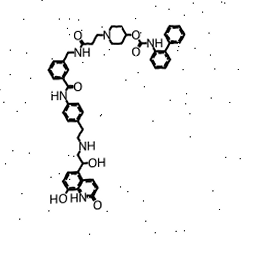 O=C(CCN1CCC(OC(=O)Nc2ccccc2-c2ccccc2)CC1)NCc1cccc(C(=O)Nc2ccc(CCNCC(O)c3ccc(O)c4[nH]c(=O)ccc34)cc2)c1